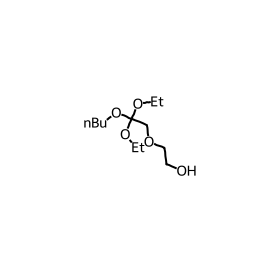 CCCCOC(COCCO)(OCC)OCC